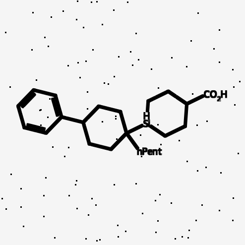 CCCCCC1([SiH]2CCC(C(=O)O)CC2)CCC(c2ccccc2)CC1